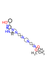 CC(C)(C)OC(=O)N1CC2(CC(N3CCC(N4CC5(CC(N6CCN7c8cc(-c9ccccc9O)nnc8NC[C@H]7C6)C5)C4)CC3)C2)C1